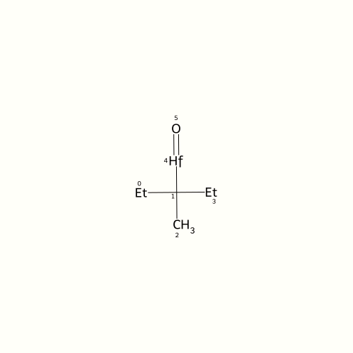 CC[C](C)(CC)[Hf]=[O]